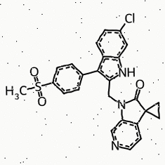 CS(=O)(=O)c1ccc(-c2c(CN3C(=O)C4(CC4)c4ccncc43)[nH]c3cc(Cl)ccc23)cc1